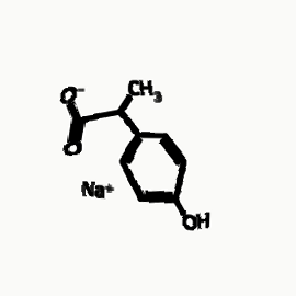 CC(C(=O)[O-])c1ccc(O)cc1.[Na+]